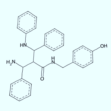 NC(c1ccccc1)C(C(=O)NCc1ccc(O)cc1)C(Nc1ccccc1)c1ccccc1